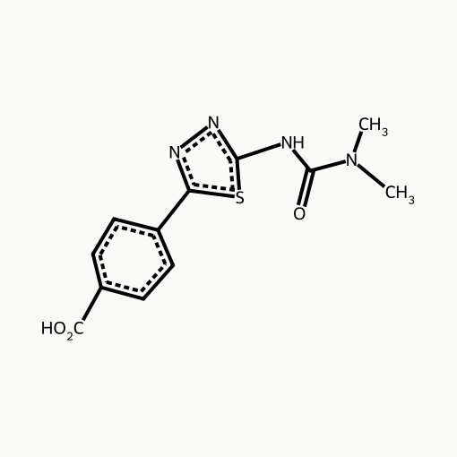 CN(C)C(=O)Nc1nnc(-c2ccc(C(=O)O)cc2)s1